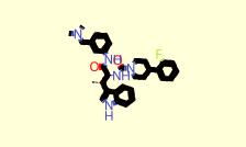 C[C@@H](c1c[nH]c2ccccc12)[C@@H](NC(=O)N1CCC(c2ccccc2F)CC1)C(=O)Nc1cccc(CN(C)C)c1